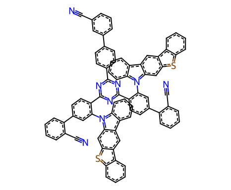 N#Cc1cccc(-c2ccc(-c3nc(-c4ccc(-c5ccccc5C#N)cc4-n4c5ccccc5c5cc6c(cc54)sc4ccccc46)nc(-c4ccc(-c5ccccc5C#N)cc4-n4c5ccccc5c5cc6c(cc54)sc4ccccc46)n3)cc2)c1